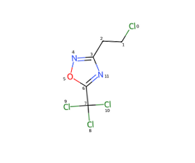 ClCCc1noc(C(Cl)(Cl)Cl)n1